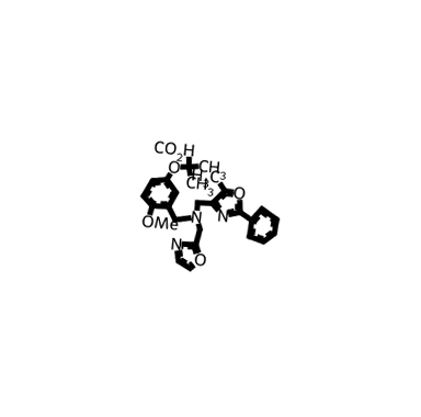 COc1ccc(OC(C)(C)C(=O)O)cc1CN(Cc1ncco1)Cc1nc(-c2ccccc2)oc1C